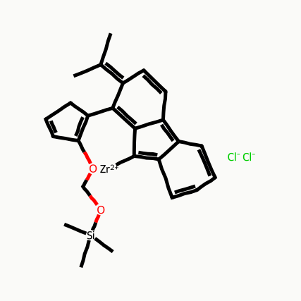 CC(C)=c1ccc2c(c1C1=C(OCO[Si](C)(C)C)C=CC1)[C]([Zr+2])=c1ccccc1=2.[Cl-].[Cl-]